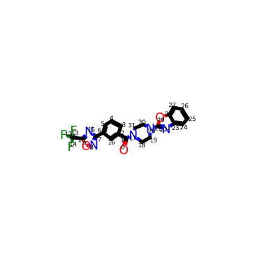 O=C(c1cccc(-c2noc(C(F)(F)F)n2)c1)N1CCN(c2nc3ccccc3o2)CC1